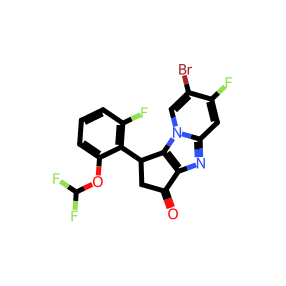 O=C1CC(c2c(F)cccc2OC(F)F)c2c1nc1cc(F)c(Br)cn21